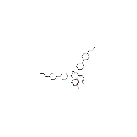 CCC[C@H]1CC[C@H]([C@H]2CC[C@H](C(OC(c3ccc(C)cc3)[C@H]3CC[C@H]([C@H]4CC[C@H](CCC)CC4)CC3)c3ccc(C)cc3)CC2)CC1